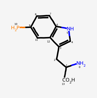 NC(Cc1c[nH]c2ccc(P)cc12)C(=O)O